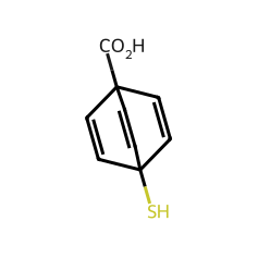 O=C(O)C12C=CC(S)(C=C1)C=C2